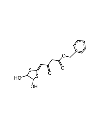 O=C(C=C1SC(O)C(O)S1)CC(=O)OCc1ccccc1